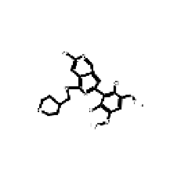 COc1cc(OC)c(Cl)c(-c2cc3cnc(Cl)cc3c(NCC3CCOCC3)n2)c1Cl